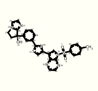 Cc1ccc(S(=O)(=O)n2cc(-c3csc(-c4cccc([C@]5(O)CCn6ccnc65)c4)n3)c3nccnc32)cc1